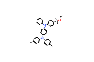 CCO[Si](C)(C)c1ccc(N(c2ccccc2)c2ccc(N(c3ccc(C)cc3)c3ccc(C)cc3)cc2)cc1